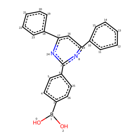 OB(O)c1ccc(-c2nc(-c3ccccc3)cc(-c3ccccc3)n2)cc1